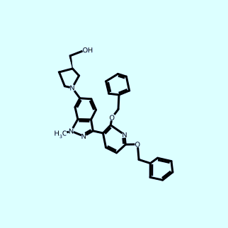 Cn1nc(-c2ccc(OCc3ccccc3)nc2OCc2ccccc2)c2ccc(N3CC[C@@H](CO)C3)cc21